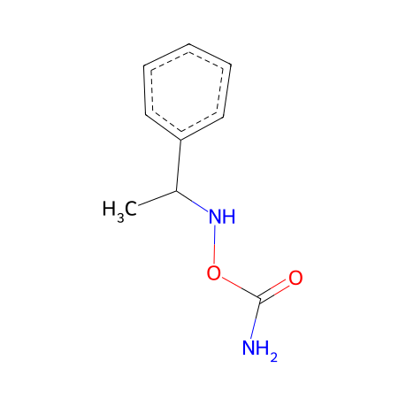 CC(NOC(N)=O)c1ccccc1